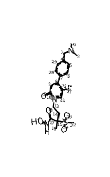 CN(C)Cc1ccc(-c2cc(=O)n(CCC(C)(C(=O)NO)S(C)(=O)=O)cc2F)cc1